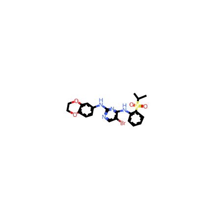 CC(C)S(=O)(=O)c1ccccc1Nc1nc(Nc2ccc3c(c2)OCCO3)ncc1Br